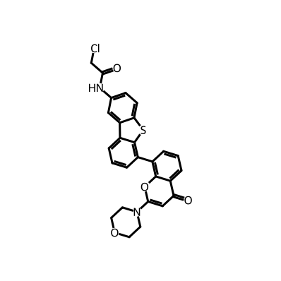 O=C(CCl)Nc1ccc2sc3c(-c4cccc5c(=O)cc(N6CCOCC6)oc45)cccc3c2c1